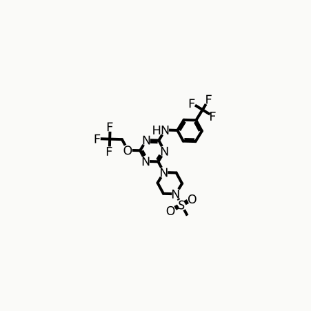 CS(=O)(=O)N1CCN(c2nc(Nc3cccc(C(F)(F)F)c3)nc(OCC(F)(F)F)n2)CC1